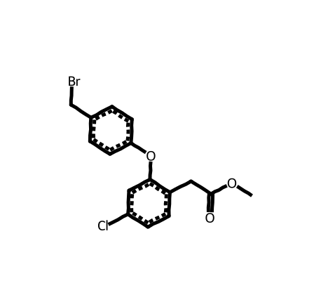 COC(=O)Cc1ccc(Cl)cc1Oc1ccc(CBr)cc1